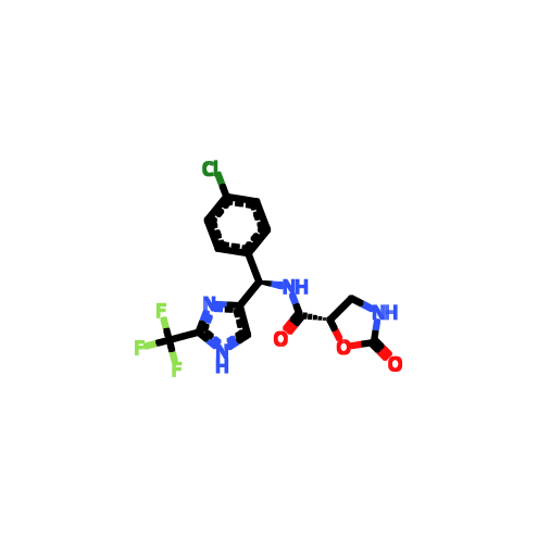 O=C1NC[C@@H](C(=O)N[C@H](c2ccc(Cl)cc2)c2c[nH]c(C(F)(F)F)n2)O1